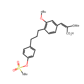 CCCCOc1cc(C=C(OC)C(=O)O)ccc1CCCc1ccc(OS(=O)(=O)CCCC)cc1